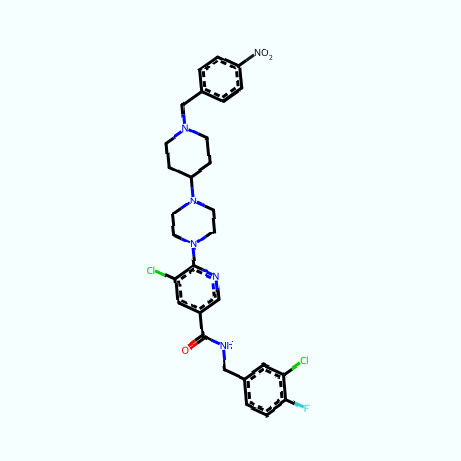 O=C(NCc1ccc(F)c(Cl)c1)c1cnc(N2CCN(C3CCN(Cc4ccc([N+](=O)[O-])cc4)CC3)CC2)c(Cl)c1